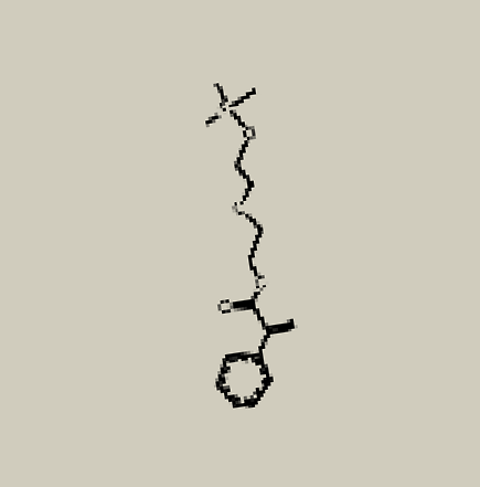 C=C(C(=O)OCCOCCO[Si](C)(C)C)c1ccccc1